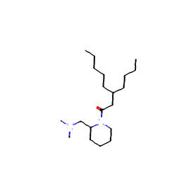 CCCCCC(CCCC)CC(=O)N1CCCCC1CN(C)C